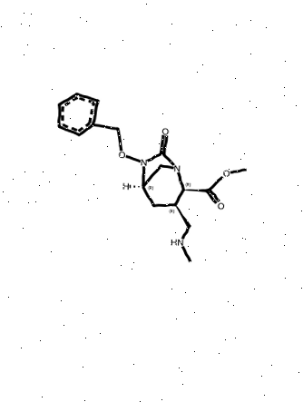 CNC[C@H]1C[C@@H]2CN(C(=O)N2OCc2ccccc2)[C@H]1C(=O)OC